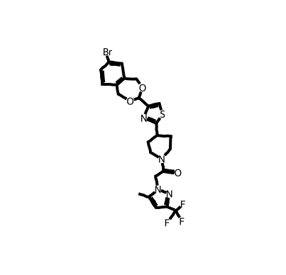 Cc1cc(C(F)(F)F)nn1CC(=O)N1CCC(c2nc(C3OCc4ccc(Br)cc4CO3)cs2)CC1